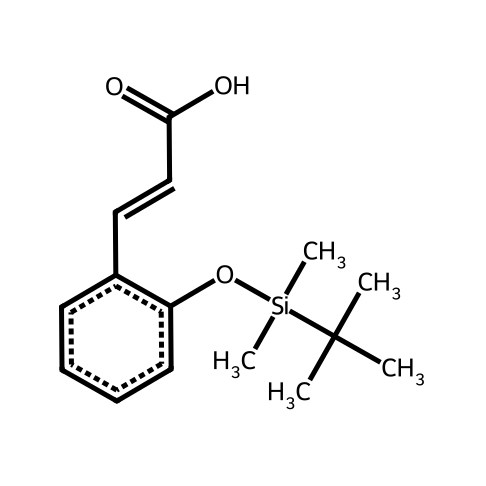 CC(C)(C)[Si](C)(C)Oc1ccccc1/C=C/C(=O)O